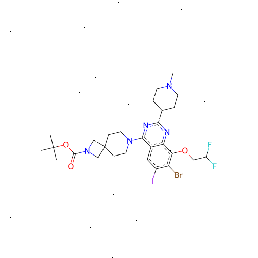 CN1CCC(c2nc(N3CCC4(CC3)CN(C(=O)OC(C)(C)C)C4)c3cc(I)c(Br)c(OCC(F)F)c3n2)CC1